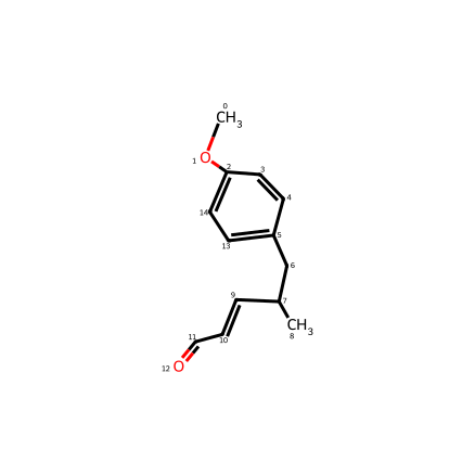 COc1ccc(CC(C)C=CC=O)cc1